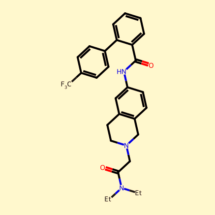 CCN(CC)C(=O)CN1CCc2cc(NC(=O)c3ccccc3-c3ccc(C(F)(F)F)cc3)ccc2C1